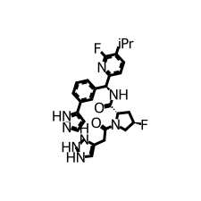 CC(C)c1ccc([C@@H](NC(=O)[C@@H]2C[C@@H](F)CN2C(=O)CC2=CNNN2)c2cccc(-c3ccn[nH]3)c2)nc1F